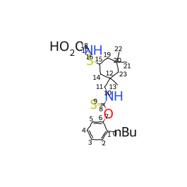 CCCCc1ccccc1OC(=S)NCC1(C)CC(SNC(=O)O)CC(C)(C)C1